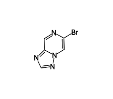 Brc1cn2ncnc2cn1